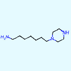 NCCCCCCCN1CCNCC1